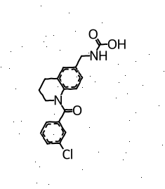 O=C(O)NCc1ccc2c(c1)CCCN2C(=O)c1cccc(Cl)c1